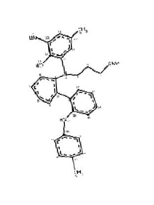 COCCCN(c1ccccc1-c1ccccc1Nc1ccc(C)cc1)c1cc(C)cc(C(C)(C)C)c1O